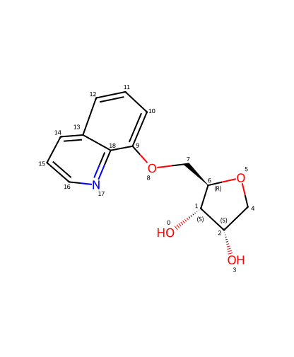 O[C@H]1[C@@H](O)CO[C@@H]1COc1cccc2cccnc12